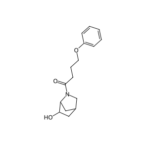 O=C(CCCOc1ccccc1)N1CC2CC(O)C1C2